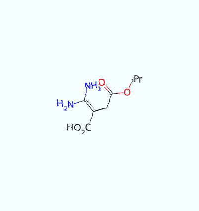 CC(C)OC(=O)CC(C(=O)O)=C(N)N